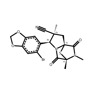 CN1C(=O)[C@@]23C[C@](C)(C#N)[C@H](c4cc5c(cc4Br)OCO5)N2C(=O)[C@]1(C)S3